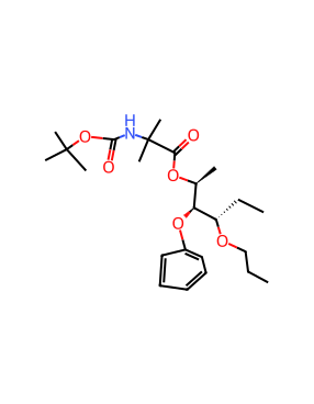 CCCO[C@@H](CC)[C@@H](Oc1ccccc1)[C@H](C)OC(=O)C(C)(C)NC(=O)OC(C)(C)C